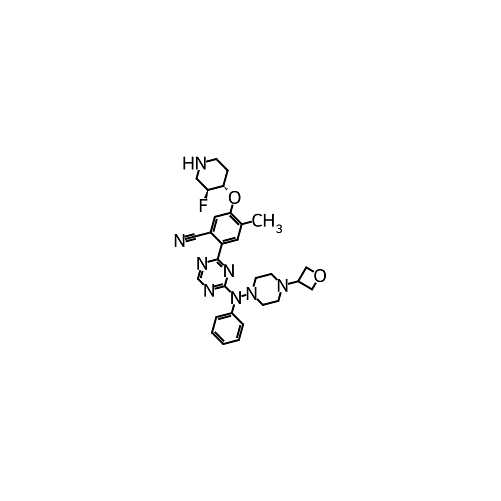 Cc1cc(-c2ncnc(N(c3ccccc3)N3CCN(C4COC4)CC3)n2)c(C#N)cc1O[C@H]1CCNC[C@@H]1F